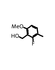 COc1ccc(C)c(F)c1CO